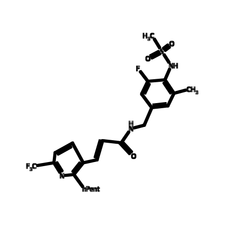 CCCCCc1nc(C(F)(F)F)ccc1C=CC(=O)NCc1cc(C)c(NS(C)(=O)=O)c(F)c1